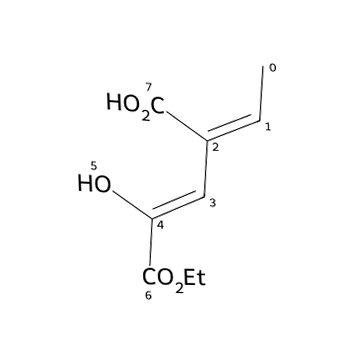 C/C=C(/C=C(\O)C(=O)OCC)C(=O)O